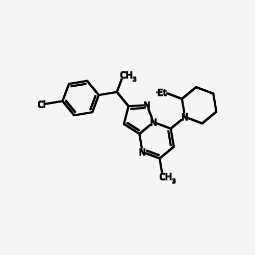 [CH2][CH]C1CCCCN1c1cc(C)nc2cc(C(C)c3ccc(Cl)cc3)nn12